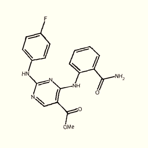 COC(=O)c1cnc(Nc2ccc(F)cc2)nc1Nc1ccccc1C(N)=O